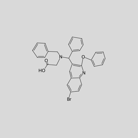 O=C(O)CN(Cc1ccccc1)C(c1ccccc1)c1cc2cc(Br)ccc2nc1Oc1ccccc1